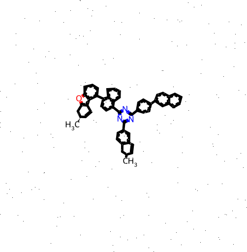 CC1C=Cc2cc(-c3nc(-c4ccc(-c5ccc6ccccc6c5)cc4)nc(-c4ccc(-c5cccc6oc7c(c56)C=C[C@H](C)C7)c5ccccc45)n3)ccc2C1